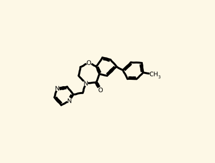 Cc1ccc(-c2ccc3c(c2)C(=O)N(Cc2cnccn2)CCO3)cc1